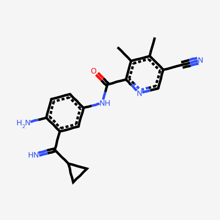 Cc1c(C#N)cnc(C(=O)Nc2ccc(N)c(C(=N)C3CC3)c2)c1C